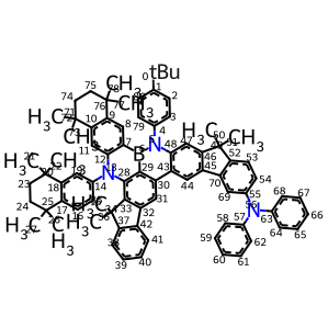 CC(C)(C)c1ccc(N2B3c4cc5c(cc4N(c4ccc6c(c4)C(C)(C)CCC6(C)C)c4c3c(cc3c4C(C)(C)c4ccccc4-3)-c3cc4c(cc32)C(C)(C)c2ccc(N(c3ccccc3)c3ccccc3)cc2-4)C(C)(C)CCC5(C)C)cc1